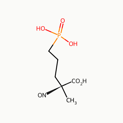 C[C@@](CCCP(=O)(O)O)(N=O)C(=O)O